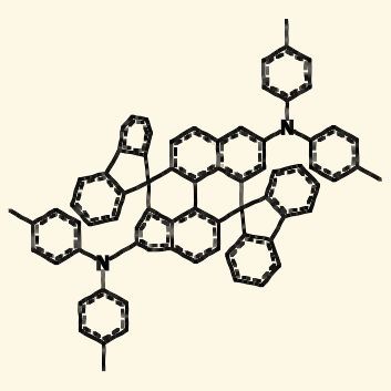 Cc1ccc(N(c2ccc(C)cc2)c2cc3c4c5c(ccc4c2)C2(c4ccccc4-c4ccccc42)c2cc(N(c4ccc(C)cc4)c4ccc(C)cc4)cc4ccc(c-5c24)C32c3ccccc3-c3ccccc32)cc1